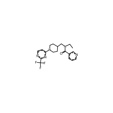 CCN(CC1CCN(c2ccnc(C(F)(F)F)n2)CC1)C(=O)c1cccnc1